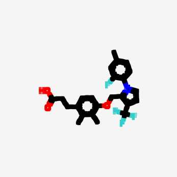 Cc1ccc(-n2ccc(C(F)(F)F)c2COc2ccc(CCC(=O)O)c(C)c2C)c(F)c1